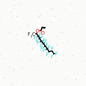 C=CC(=O)OC(C(F)(F)F)C(F)(F)C(F)(F)C(F)(F)C(F)(F)C(F)(F)C(F)(F)C(F)C(F)C(F)F